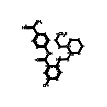 N=C(N)c1ccc(NC(=O)c2cc(Cl)ccc2NC[C@@H]2CCCCN2CCC(=O)O)cc1